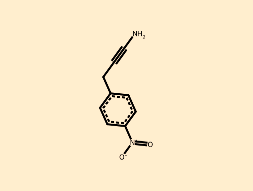 NC#CCc1ccc([N+](=O)[O-])cc1